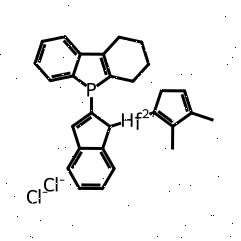 CC1=CC[C]([Hf+2][CH]2C(p3c4c(c5ccccc53)CCCC4)=Cc3ccccc32)=C1C.[Cl-].[Cl-]